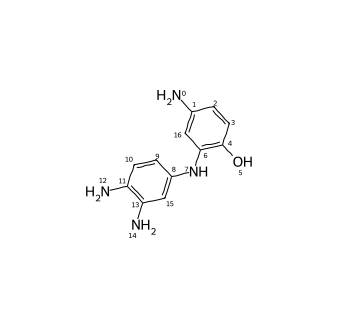 Nc1ccc(O)c(Nc2ccc(N)c(N)c2)c1